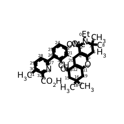 CCN1C(=O)C2=C(CC1(C)C)OC1=C(C(=O)CC(C)(C)C1)[C@@H]2c1c(OC)ccc(-c2ccc(C)c(C(=O)O)n2)c1C